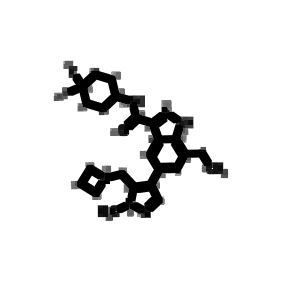 CCc1cc(-c2cnn(C)c2CN2CCC2)cc2c(C(=O)NC3CCC(F)(F)CC3)n[nH]c12